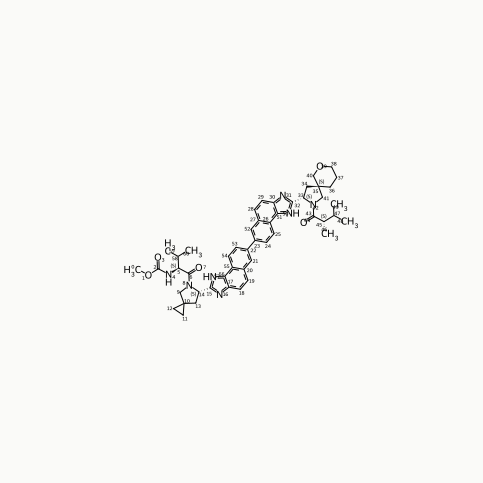 COC(=O)N[C@H](C(=O)N1CC2(CC2)C[C@H]1c1nc2ccc3cc(-c4ccc5c(ccc6nc([C@@H]7C[C@@]8(CCCOC8)CN7C(=O)[C@@H](C)C(C)C)[nH]c65)c4)ccc3c2[nH]1)C(C)C